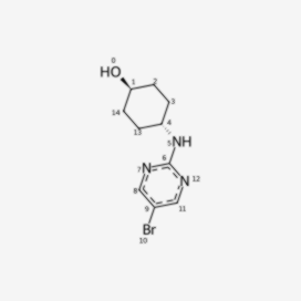 O[C@H]1CC[C@H](Nc2ncc(Br)cn2)CC1